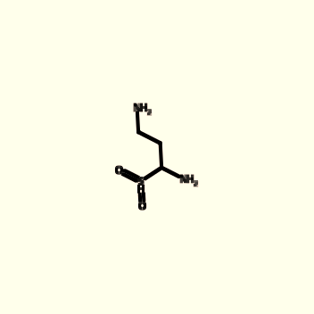 NCCC(N)[SH](=O)=O